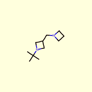 CC(C)(C)N1CC(CN2CCC2)C1